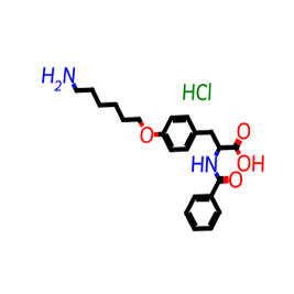 Cl.NCCCCCCOc1ccc(CC(NC(=O)c2ccccc2)C(=O)O)cc1